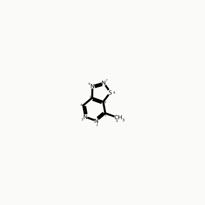 Cc1nncc2nnsc12